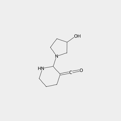 O=C=C1CCCNC1N1CCC(O)C1